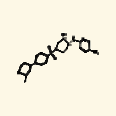 O=S(=O)(c1ccc(-c2ccnc(F)c2)cc1)N1CC[C@@H](Nc2ccc(C(F)(F)F)cn2)[C@@H](O)C1